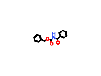 O=C(NC(=O)C1=CC=CC[CH]1)OCc1ccccc1